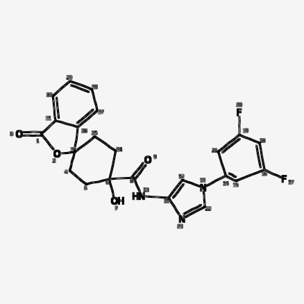 O=C1OC2(CCC(O)(C(=O)Nc3cn(-c4cc(F)cc(F)c4)cn3)CC2)c2ccccc21